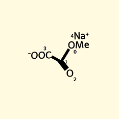 COC(=O)C(=O)[O-].[Na+]